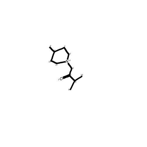 CC1CCN(CC(=O)C(C)C)CC1